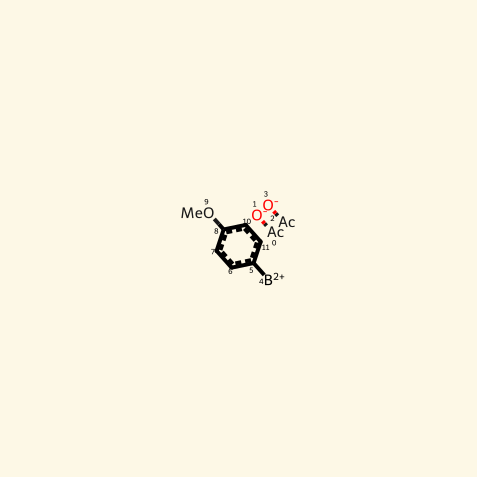 CC(=O)[O-].CC(=O)[O-].[B+2]c1ccc(OC)cc1